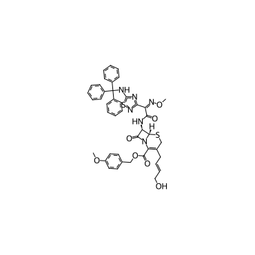 CO/N=C(\C(=O)N[C@@H]1C(=O)N2C(C(=O)OCc3ccc(OC)cc3)=C(C/C=C/CO)CS[C@@H]12)c1nsc(NC(c2ccccc2)(c2ccccc2)c2ccccc2)n1